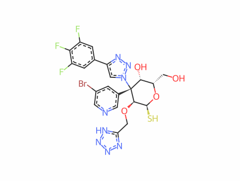 OC[C@@H]1O[C@@H](S)[C@@H](OCc2nnn[nH]2)[C@](c2cncc(Br)c2)(n2cc(-c3cc(F)c(F)c(F)c3)nn2)[C@@H]1O